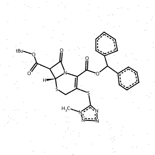 Cn1nnnc1SC1=C(C(=O)OC(c2ccccc2)c2ccccc2)N2C(=O)C(C(=O)OC(C)(C)C)[C@H]2SC1